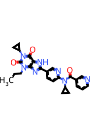 CCCn1c(=O)n(C2CC2)c(=O)c2[nH]c(-c3ccc(N(C(=O)c4cccnc4)C4CC4)nc3)nc21